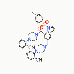 Cc1ccc(S(=O)(=O)n2ccc3cc(CN4CCN(c5ccccc5C#N)CC4)cc(C(=O)N4CCN(c5ccccc5C#N)CC4)c32)cc1